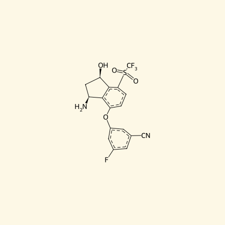 N#Cc1cc(F)cc(Oc2ccc(S(=O)(=O)C(F)(F)F)c3c2[C@@H](N)C[C@H]3O)c1